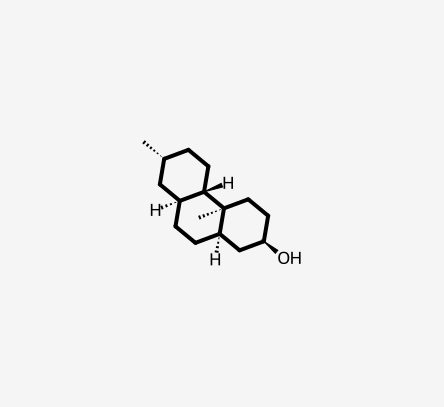 C[C@@H]1CC[C@H]2[C@@H](CC[C@@H]3C[C@H](O)CC[C@@]32C)C1